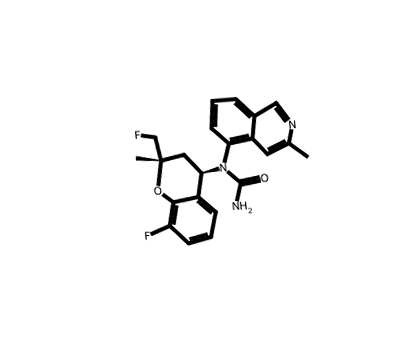 Cc1cc2c(N(C(N)=O)[C@@H]3C[C@@](C)(CF)Oc4c(F)cccc43)cccc2cn1